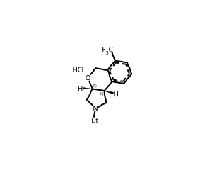 CCN1C[C@@H]2OCc3c(cccc3C(F)(F)F)[C@@H]2C1.Cl